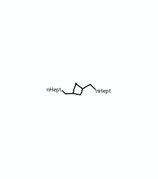 CCCCCCCCC1CC(CCCCCCCC)C1